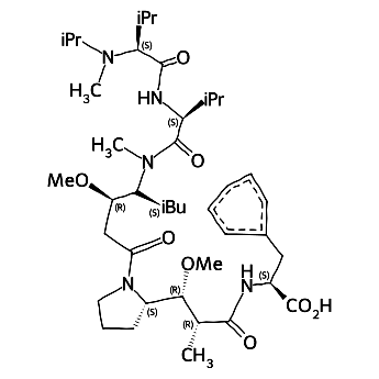 CC[C@H](C)C([C@@H](CC(=O)N1CCC[C@H]1[C@H](OC)[C@@H](C)C(=O)N[C@@H](Cc1ccccc1)C(=O)O)OC)N(C)C(=O)[C@@H](NC(=O)[C@H](C(C)C)N(C)C(C)C)C(C)C